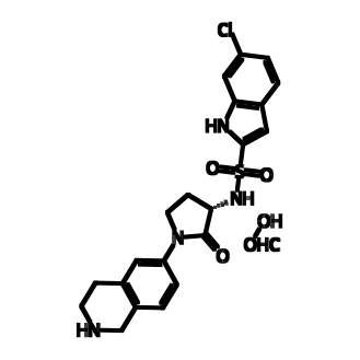 O=C1[C@@H](NS(=O)(=O)c2cc3ccc(Cl)cc3[nH]2)CCN1c1ccc2c(c1)CCNC2.O=CO